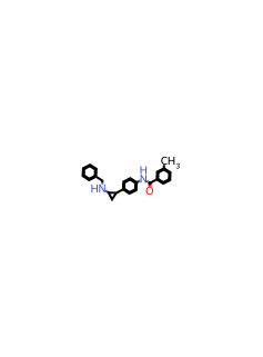 Cc1cccc(C(=O)Nc2ccc(C3CC3NCc3ccccc3)cc2)c1